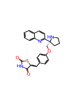 O=C1NC(=O)C(=Cc2ccc(OC[C@@]3(c4ccc5ccccc5n4)CCCN3)cc2)S1